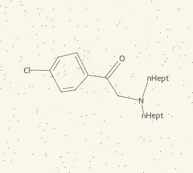 CCCCCCCN(CCCCCCC)CC(=O)c1ccc(Cl)cc1